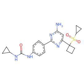 Nc1cc(C2(S(=O)(=O)C3CC3)CCC2)nc(-c2ccc(NC(=O)NC3CC3)cc2)n1